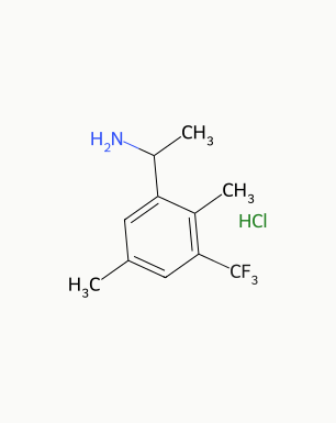 Cc1cc(C(C)N)c(C)c(C(F)(F)F)c1.Cl